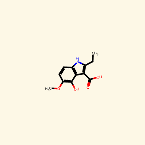 CCc1[nH]c2ccc(OC)c(O)c2c1C(=O)O